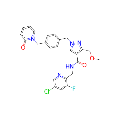 COCc1nn(Cc2ccc(Cn3ccccc3=O)cc2)cc1C(=O)NCc1ncc(Cl)cc1F